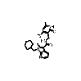 CSc1cc(C)[nH]c(=O)c1CNC(=O)c1c(C)n(CC2CCCCC2)c2ncccc12